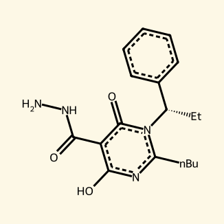 CCCCc1nc(O)c(C(=O)NN)c(=O)n1[C@@H](CC)c1ccccc1